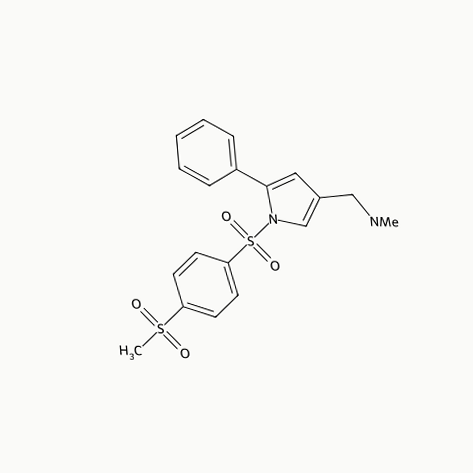 CNCc1cc(-c2ccccc2)n(S(=O)(=O)c2ccc(S(C)(=O)=O)cc2)c1